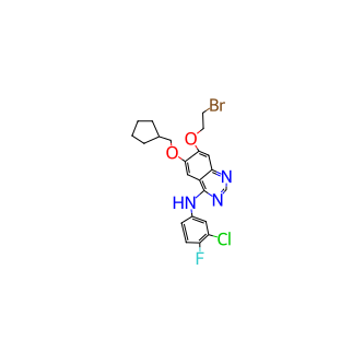 Fc1ccc(Nc2ncnc3cc(OCCBr)c(OCC4CCCC4)cc23)cc1Cl